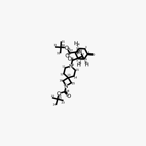 C=C1C[C@@H]2CC[C@H]1[C@@H](C(=O)N1CCC3(CC1)CN(C(=O)OC(C)(C)C)C3)N2C(=O)OC(C)(C)C